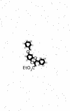 CCOC(=O)CCC(Oc1cc(OCc2ccccc2)ccc1C#N)c1ccccc1